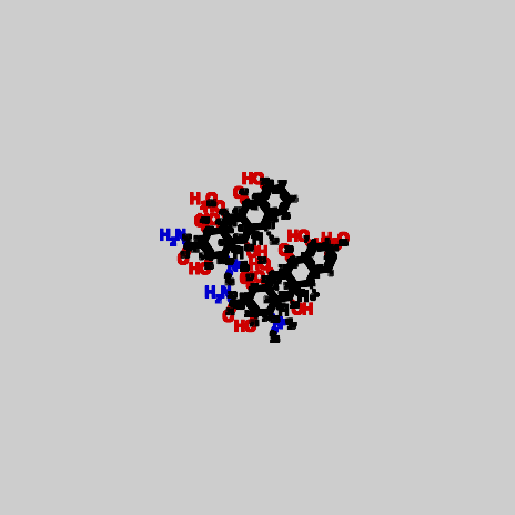 C[C@H]1c2cccc(O)c2C(=O)C2=C(O)[C@]3(O)C(=O)C(C(N)=O)=C(O)[C@@H](N(C)C)[C@@H]3[C@@H](O)[C@@H]21.C[C@H]1c2cccc(O)c2C(=O)C2=C(O)[C@]3(O)C(=O)C(C(N)=O)=C(O)[C@@H](N(C)C)[C@@H]3[C@@H](O)[C@@H]21.O.O.O